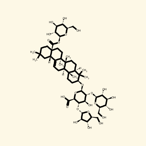 CC1(C)CC[C@]2(C(=O)O[C@@H]3O[C@H](CO)[C@@H](O)[C@H](O)[C@H]3O)CC[C@]3(C)C(=CC[C@@H]4[C@@]5(C)CC[C@H](O[C@@H]6O[C@H](C(=O)O)[C@@H](O[C@@H]7O[C@@H](CO)[C@H](O)[C@H]7O)[C@H](O)[C@H]6O[C@@H]6O[C@H](CO)[C@@H](O)[C@H](O)[C@H]6O)C(C)(C)[C@@H]5CC[C@]43C)[C@@H]2C1